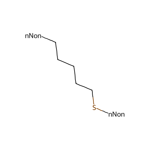 CCCCCCCCCCCCCCSCCCCCCCCC